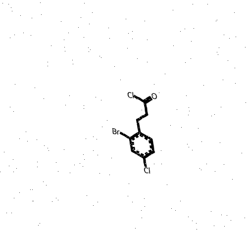 O=C(Cl)CCc1ccc(Cl)cc1Br